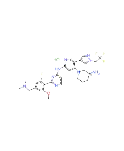 COc1cc(CN(C)C)cc(F)c1-c1nccc(Nc2cc(N3CCC[C@H](N)C3)c(-c3cnn(CC(F)(F)F)c3)cn2)n1.Cl